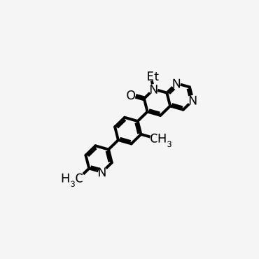 CCn1c(=O)c(-c2ccc(-c3ccc(C)nc3)cc2C)cc2cncnc21